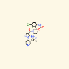 Cc1cnccc1-n1ncc(C(=O)N2CCC[C@@]3(C2)OC(=O)Nc2ccc(Cl)c(F)c23)c1N